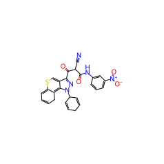 N#CC(C(=O)Nc1cccc([N+](=O)[O-])c1)C(=O)c1nn(C2C=CCC=C2)c2c1=CSC1=CC=CCC=21